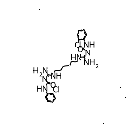 N/C(=N/C(=O)Nc1ccccc1Cl)NCCCCCCN/C(N)=N\C(=O)Nc1ccccc1Cl